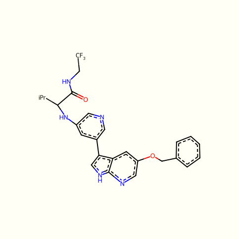 CC(C)C(Nc1cncc(-c2c[nH]c3ncc(OCc4ccccc4)cc23)c1)C(=O)NCC(F)(F)F